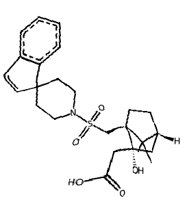 CC1(C)[C@@H]2CC[C@@]1(CS(=O)(=O)N1CCC3(C=Cc4ccccc43)CC1)[C@](O)(CC(=O)O)C2